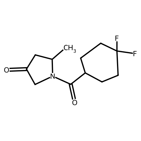 CC1CC(=O)CN1C(=O)C1CCC(F)(F)CC1